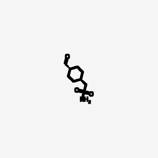 NS(=O)(=O)C[C@H]1CC[C@H](C=O)CC1